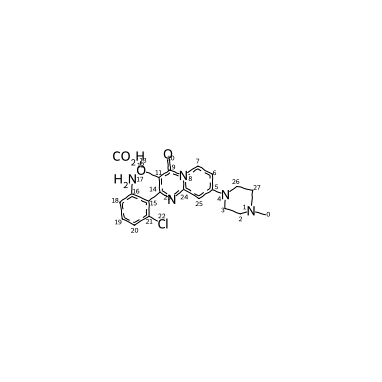 CN1CCN(c2ccn3c(=O)c(OC(=O)O)c(-c4c(N)cccc4Cl)nc3c2)CC1